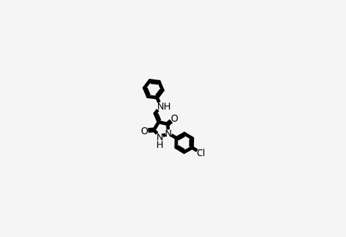 O=C1NN(c2ccc(Cl)cc2)C(=O)C1=CNc1ccccc1